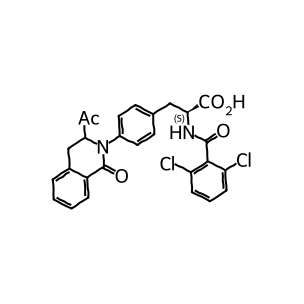 CC(=O)C1Cc2ccccc2C(=O)N1c1ccc(C[C@H](NC(=O)c2c(Cl)cccc2Cl)C(=O)O)cc1